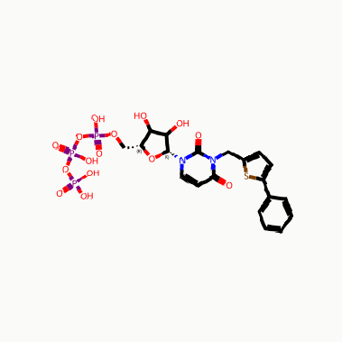 O=c1ccn([C@@H]2O[C@H](COP(=O)(O)OP(=O)(O)OP(=O)(O)O)C(O)C2O)c(=O)n1Cc1ccc(-c2ccccc2)s1